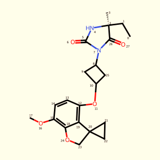 CC[C@]1(C)NC(=O)N(C2CC(Oc3ccc(OC)c4c3C3(CC3)CO4)C2)C1=O